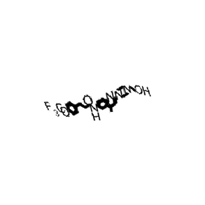 Cc1cc(N2CCN(CCO)CC2)nc2ccc(NC(=O)C=Cc3ccc(OC(F)(F)F)cc3)cc12